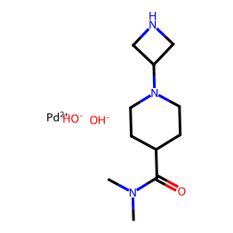 CN(C)C(=O)C1CCN(C2CNC2)CC1.[OH-].[OH-].[Pd+2]